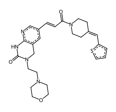 O=C(C=Cc1cnc2c(c1)CN(CCN1CCOCC1)C(=O)N2)N1CCC(=Cc2cccs2)CC1